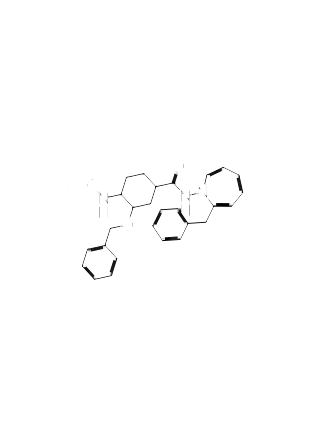 CNC1CCC(C(=O)NN2C=CC=CC=C2Cc2ccccc2)CC1OCc1ccccc1